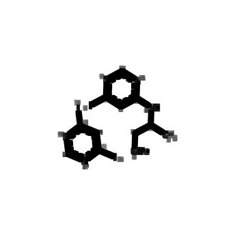 COCC(C)Nc1cc(I)ncn1.Ic1cc(I)ncn1